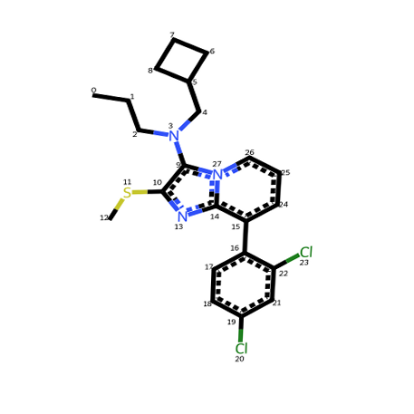 CCCN(CC1CCC1)c1c(SC)nc2c(-c3ccc(Cl)cc3Cl)cccn12